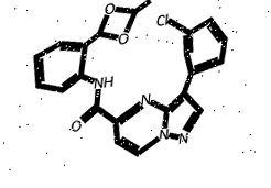 CC1OC(c2ccccc2NC(=O)c2ccn3ncc(-c4cccc(Cl)c4)c3n2)O1